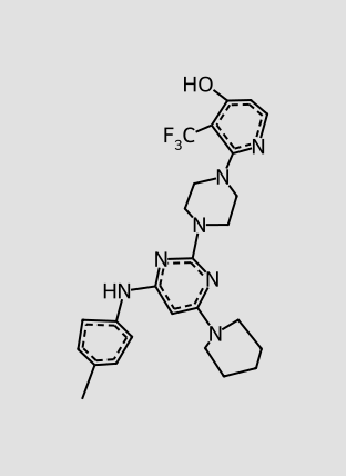 Cc1ccc(Nc2cc(N3CCCCC3)nc(N3CCN(c4nccc(O)c4C(F)(F)F)CC3)n2)cc1